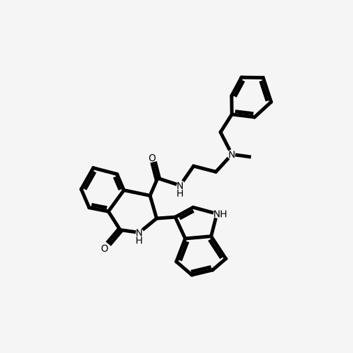 CN(CCNC(=O)C1c2ccccc2C(=O)NC1c1c[nH]c2ccccc12)Cc1ccccc1